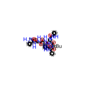 CCC[C@H](NC(=O)[C@@H]1CN(C(=O)Nc2ccccc2)C[C@@H]1NC(=O)[C@@H](NC(=O)[C@@H](NC(=O)c1cnccn1)C1CCCCC1)C(C)(C)C)C(=O)C(=O)NCC(=O)N[C@H](C(N)=O)c1ccccc1